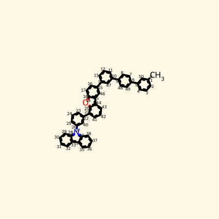 Cc1cccc(-c2ccc(-c3cccc(-c4ccc5oc6c(-c7cccc(-n8c9ccccc9c9ccccc98)c7)cccc6c5c4)c3)cc2)c1